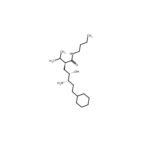 CCCCNC(=O)[C@@H](C[C@H](O)[C@@H](N)CCC1CCCCC1)C(C)C